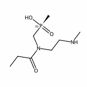 CCC(=O)N(CCNC)C[P@@](C)(=O)O